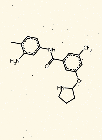 Cc1ccc(NC(=O)c2cc(OC3CCCN3)cc(C(F)(F)F)c2)cc1N